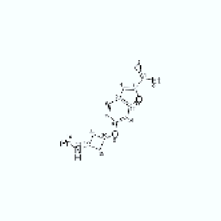 CCC(=O)c1cc2ccc(O[C@H]3C[C@@H](NC(C)C)C3)cc2o1